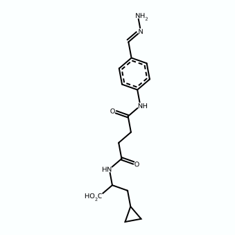 NN=Cc1ccc(NC(=O)CCC(=O)NC(CC2CC2)C(=O)O)cc1